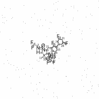 O=C(NCC(F)F)N1CC2(CC2)[C@H](NS(=O)(=O)C(F)F)[C@@H]1Cc1cccc(-c2cc(F)cc(F)c2)c1F